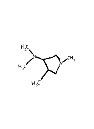 CC1CN(C)CC1N(C)C